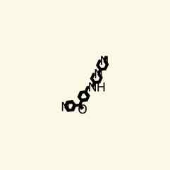 CN1CCC(N2CCC(NCc3ccc(C(=O)c4ccncc4)cc3)CC2)CC1